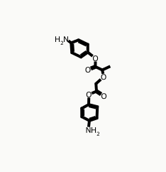 CC(OCC(=O)Oc1ccc(N)cc1)C(=O)Oc1ccc(N)cc1